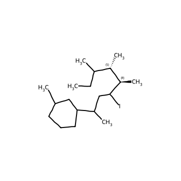 CCC(C)[C@H](C)[C@@H](C)C(I)CC(C)C1CCCC(C)C1